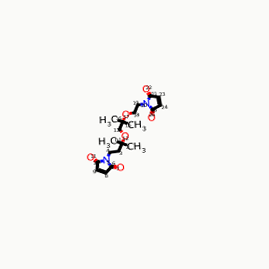 CC(C)(CCN1C(=O)C=CC1=O)OCC(C)(C)OCCN1C(=O)C=CC1=O